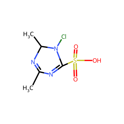 CC1=NC(C)N(Cl)C(S(=O)(=O)O)=N1